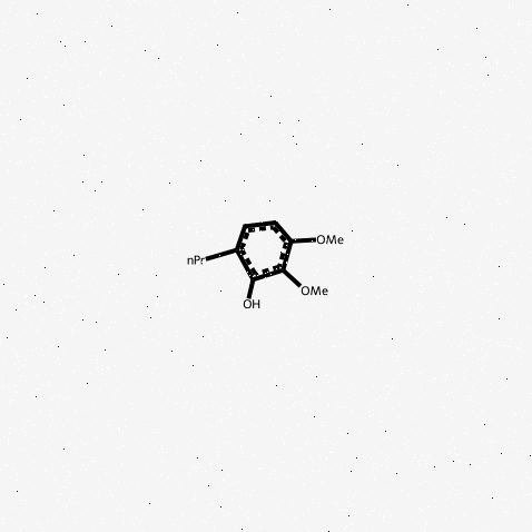 CCCc1ccc(OC)c(OC)c1O